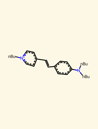 CCCCN(CCCC)c1ccc(/C=C/c2cc[n+](CCCC)cc2)cc1